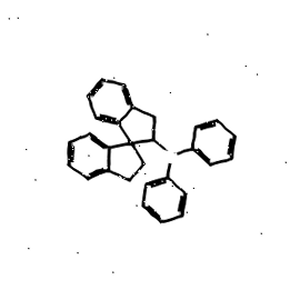 c1ccc(P(c2ccccc2)C2Cc3ccccc3C23CCc2ccccc23)cc1